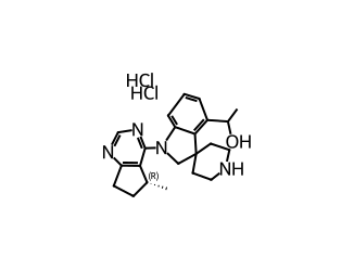 CC(O)c1cccc2c1C1(CCNCC1)CN2c1ncnc2c1[C@H](C)CC2.Cl.Cl